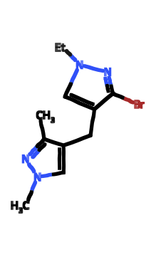 CCn1cc(Cc2cn(C)nc2C)c(Br)n1